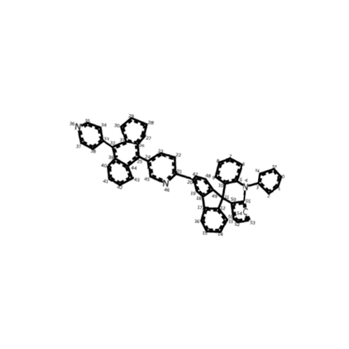 c1ccc(N2c3ccccc3C3(c4ccccc4-c4cc(-c5ccc(-c6c7ccccc7c(-c7ccncc7)c7ccccc67)cn5)ccc43)c3ccccc32)cc1